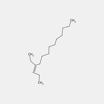 CC/[C]=C(/CC)CCCCCCCCCC